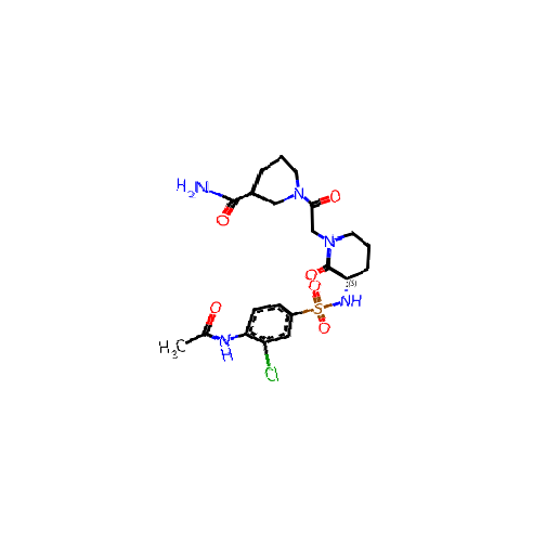 CC(=O)Nc1ccc(S(=O)(=O)N[C@H]2CCCN(CC(=O)N3CCCC(C(N)=O)C3)C2=O)cc1Cl